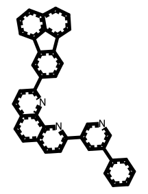 c1ccc(-c2cncc(-c3ccc4ccc5ccc(-c6ccc7c(c6)-c6cccc8cccc-7c68)nc5c4n3)c2)cc1